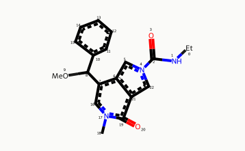 CCNC(=O)n1cc2c(C(OC)c3ccccc3)cn(C)c(=O)c2c1